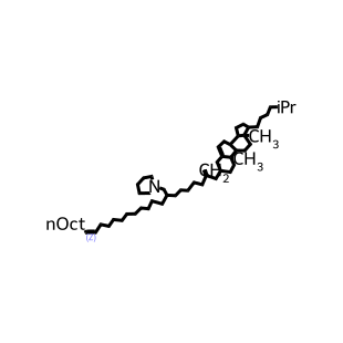 C=C(CCCCCC(CCCCCCCCCC/C=C\CCCCCCCC)CN1CCCCC1)CC1CCC2(C)C(=CCC3C2CCC2(C)C(CCCCC(C)C)CCC32)C1